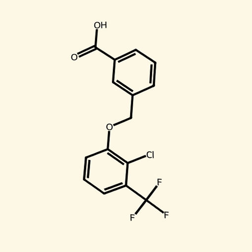 O=C(O)c1cccc(COc2cccc(C(F)(F)F)c2Cl)c1